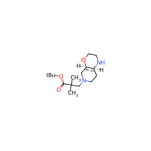 CC(C)(C)OC(=O)C(C)(C)CN1CC[C@@H]2NCCO[C@@H]2C1